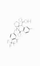 Cc1ccc2c(c1)C(C(=O)O)C1(CCCC1)N(Cc1ccc(C(F)(F)F)c(F)c1)C2=O